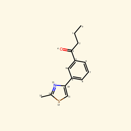 CCCC(=O)c1cccc(-c2csc(C)n2)c1